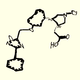 O=C(O)C[C@H]1CN(Cl)C[C@H]1c1cccc(OCc2nc(-c3ccccc3)no2)c1